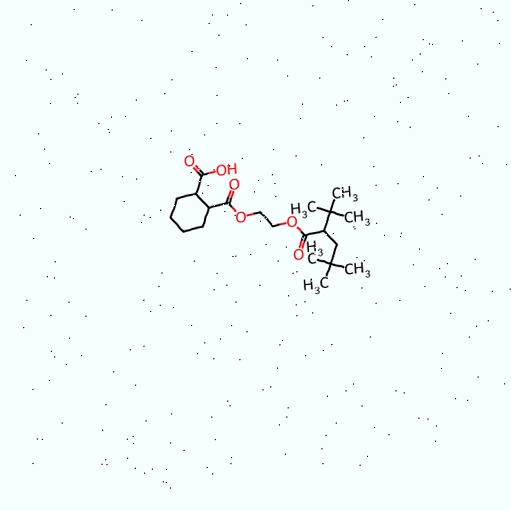 CC(C)(C)CC(C(=O)OCCOC(=O)C1CCCCC1C(=O)O)C(C)(C)C